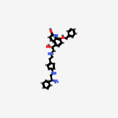 N[C@H](CNc1ccc(CCNC[C@H](O)c2ccc(OCc3ccccc3)c3[nH]c(=O)ccc23)cc1)c1ccccc1